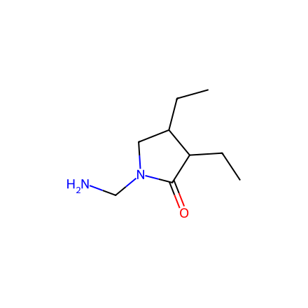 CCC1CN(CN)C(=O)C1CC